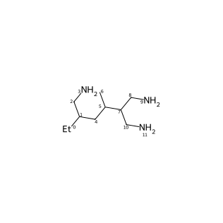 CCC(CN)CC(C)C(CN)CN